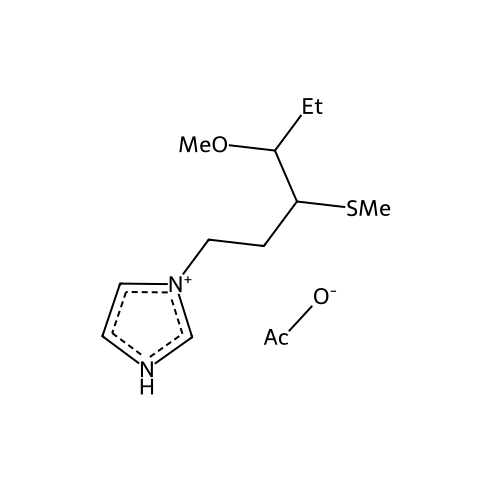 CC(=O)[O-].CCC(OC)C(CC[n+]1cc[nH]c1)SC